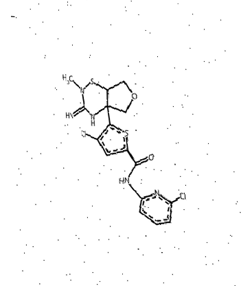 CN1SC2COCC2(c2sc(C(=O)Nc3cccc(Cl)n3)cc2Cl)NC1=N